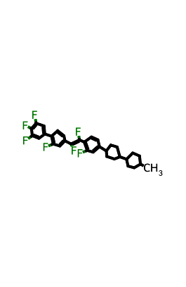 CC1CCC(C2CCC(c3ccc(/C(F)=C(\F)c4ccc(-c5cc(F)c(F)c(F)c5)c(F)c4)c(F)c3)CC2)CC1